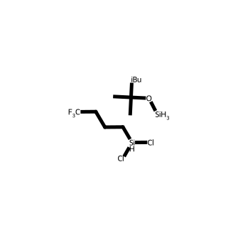 CCC(C)C(C)(C)O[SiH3].FC(F)(F)CCC[SiH](Cl)Cl